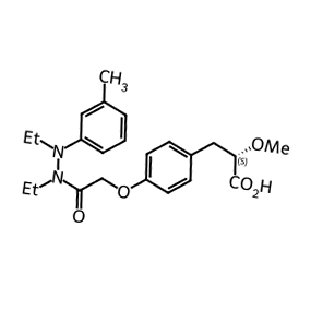 CCN(C(=O)COc1ccc(C[C@H](OC)C(=O)O)cc1)N(CC)c1cccc(C)c1